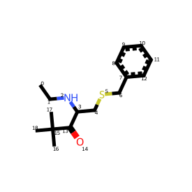 CCNC(CSCc1ccccc1)C(=O)C(C)(C)C